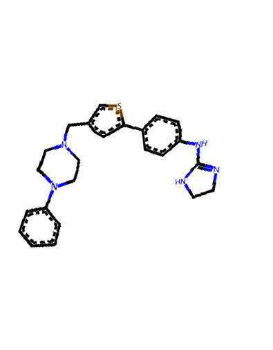 c1ccc(N2CCN(Cc3csc(-c4ccc(NC5=NCCN5)cc4)c3)CC2)cc1